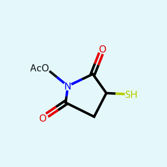 CC(=O)ON1C(=O)CC(S)C1=O